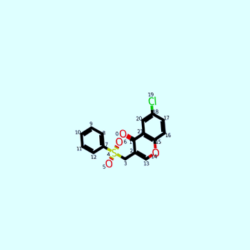 O=c1c(CS(=O)(=O)c2ccccc2)coc2ccc(Cl)cc12